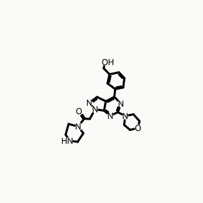 O=C(Cn1ncc2c(-c3cccc(CO)c3)nc(N3CCOCC3)nc21)N1CCNCC1